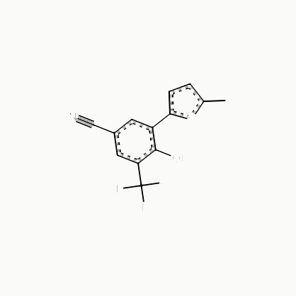 Cc1ccc(-c2cc(C#N)cc(C(F)(F)F)c2O)s1